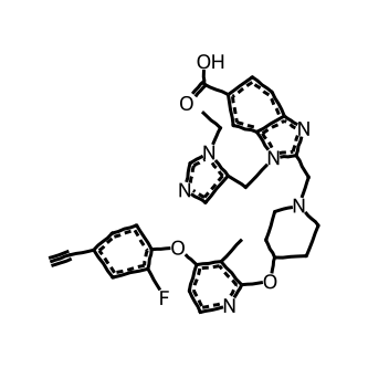 C#Cc1ccc(Oc2ccnc(OC3CCN(Cc4nc5ccc(C(=O)O)cc5n4Cc4cncn4CC)CC3)c2C)c(F)c1